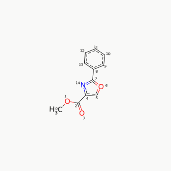 COC(=O)c1coc(-c2ccccc2)n1